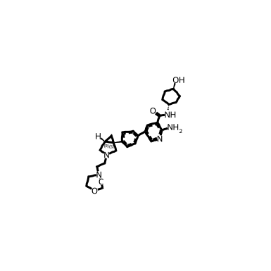 Nc1ncc(-c2ccc([C@]34C[C@H]3CN(CCN3CCOCC3)C4)cc2)cc1C(=O)N[C@H]1CC[C@H](O)CC1